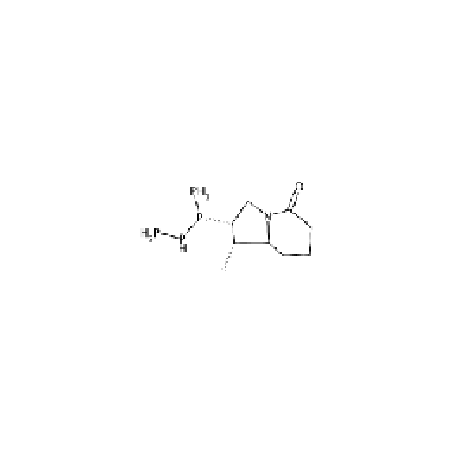 C[C@H]1C2CCCC(=O)N2C[C@H]1P(P)PP